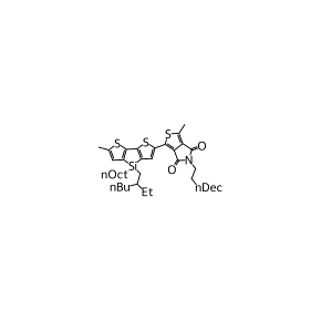 CCCCCCCCCCCCN1C(=O)c2c(C)sc(-c3cc4c(s3)-c3sc(C)cc3[Si]4(CCCCCCCC)CC(CC)CCCC)c2C1=O